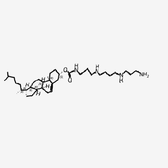 CC(C)CCC[C@@H](C)[C@H]1CC[C@@H]2[C@@H]1CC[C@H]1[C@H]2CC=C2C[C@@H](OC(=O)NCCCNCCCCNCCCN)CC[C@@]21C